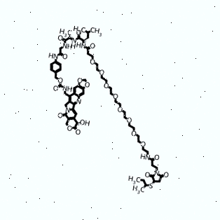 CCC(C)SC1CC(=O)N(CCC(=O)NCCOCCOCCOCCOCCOCCOCCOCCOCCC(=O)N[C@H](CC(C)C)C(=O)N[C@@H](C)C(=O)NCC(=O)Nc2ccc(COC(=O)NCc3c4c(nc5cc6c(cc35)OCO6)-c3cc5c(c(=O)n3C4)COC(=O)[C@H]5O)cc2)C1=O